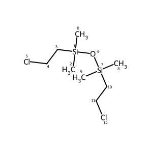 C[Si](C)(CCCl)O[Si](C)(C)CCCl